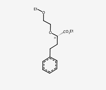 CCOCCO[C@@H](CCc1ccccc1)C(=O)OCC